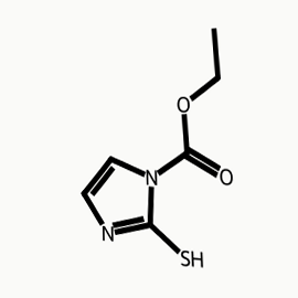 CCOC(=O)n1ccnc1S